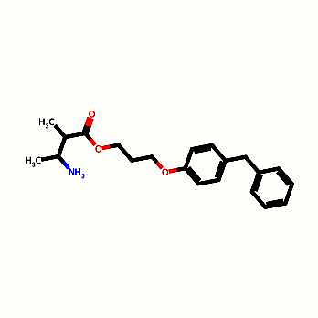 CC(N)C(C)C(=O)OCCCOc1ccc(Cc2ccccc2)cc1